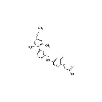 CCOc1cc(C)c(-c2cccc(CNc3ccc(OCC(=O)O)c(F)c3)c2)c(C)c1